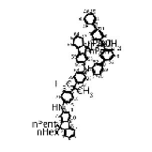 CCCCCCC1(CCCCC)c2ccccc2-c2ccc(Nc3ccc(C(C)(C)c4ccc(N(c5cccc(-c6cccc(C(C)(CC)c7ccc(-c8ccccc8)cc7)c6)c5)c5ccc6c(c5)C(CCCCC)(CCCCC)c5ccccc5-6)cc4)cc3)cc21